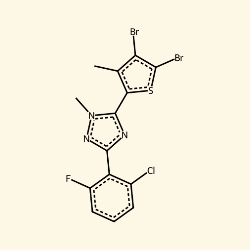 Cc1c(-c2nc(-c3c(F)cccc3Cl)nn2C)sc(Br)c1Br